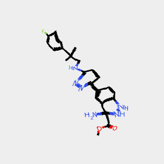 COC(=O)C1(N)NNc2ccc(-c3ccc(NCC(C)(C)c4ccc(F)cc4)nn3)cc21